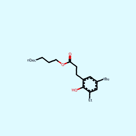 CCCCCCCCCCCCCOC(=O)CCc1cc(C(C)(C)C)cc(CC)c1O